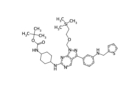 CC(C)(C)OC(=O)NC1CCC(Nc2ncc3c(-c4cccc(NCc5cccs5)c4)nn(COCC[Si](C)(C)C)c3n2)CC1